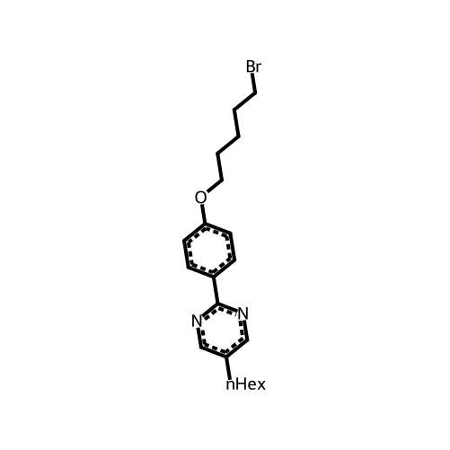 CCCCCCc1cnc(-c2ccc(OCCCCCBr)cc2)nc1